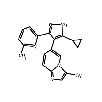 Cc1cccc(-c2n[nH]c(C3CC3)c2-c2ccc3ncc(C#N)n3c2)n1